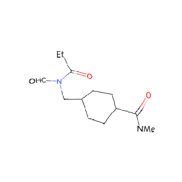 CCC(=O)N(C=O)CC1CCC(C(=O)NC)CC1